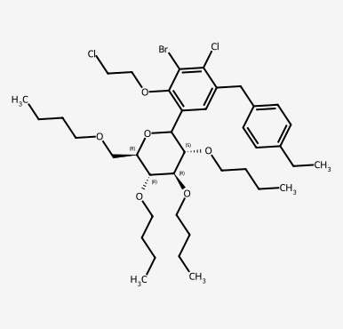 CCCCOC[C@H]1OC(c2cc(Cc3ccc(CC)cc3)c(Cl)c(Br)c2OCCCl)[C@H](OCCCC)[C@@H](OCCCC)[C@@H]1OCCCC